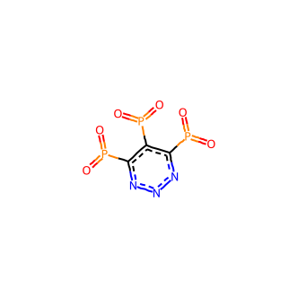 O=P(=O)c1nnnc(P(=O)=O)c1P(=O)=O